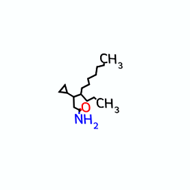 CCCCCCCC(CCC)C(CC(N)=O)C1CC1